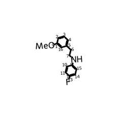 COc1cccc(CCNc2ccc(F)cc2)c1